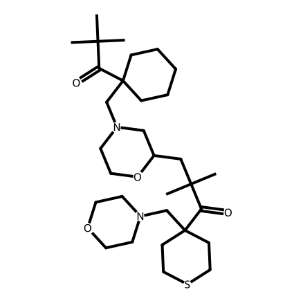 CC(C)(C)C(=O)C1(CN2CCOC(CC(C)(C)C(=O)C3(CN4CCOCC4)CCSCC3)C2)CCCCC1